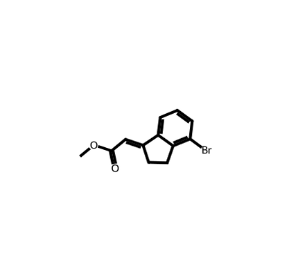 COC(=O)C=C1CCc2c(Br)cccc21